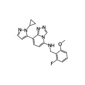 COc1cccc(F)c1CNc1ccc(-c2ccnn2C2CC2)c2nncn12